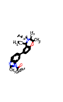 CC1=C(C)N(C)C(C)c2cc(-c3ccc4nc(C)n(C(=O)OCC(C)C)c4c3)ccc2O1